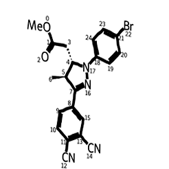 COC(=O)C[C@H]1[C@H](C)C(c2ccc(C#N)c(C#N)c2)=NN1c1ccc(Br)cc1